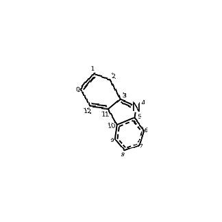 C1=CCC2=Nc3ccccc3C2=C1